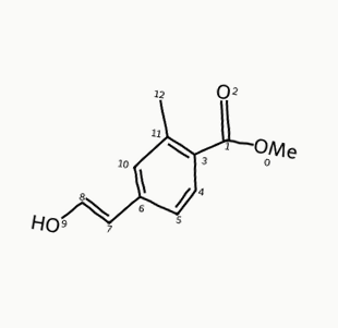 COC(=O)c1ccc(C=CO)cc1C